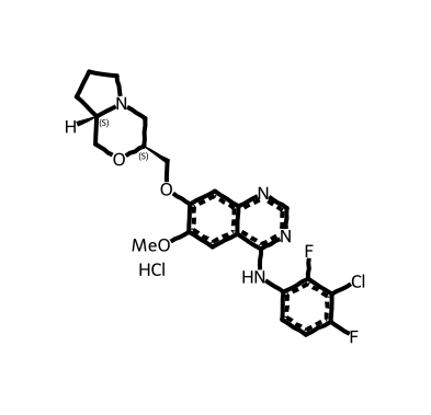 COc1cc2c(Nc3ccc(F)c(Cl)c3F)ncnc2cc1OC[C@@H]1CN2CCC[C@H]2CO1.Cl